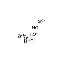 [OH-].[OH-].[OH-].[OH-].[Sr+2].[Zn+2]